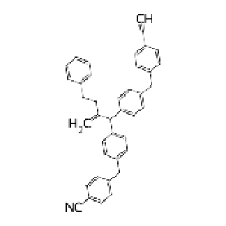 C#Cc1ccc(Cc2ccc(C(C(=C)CCc3ccccc3)c3ccc(Cc4ccc(C#N)cc4)cc3)cc2)cc1